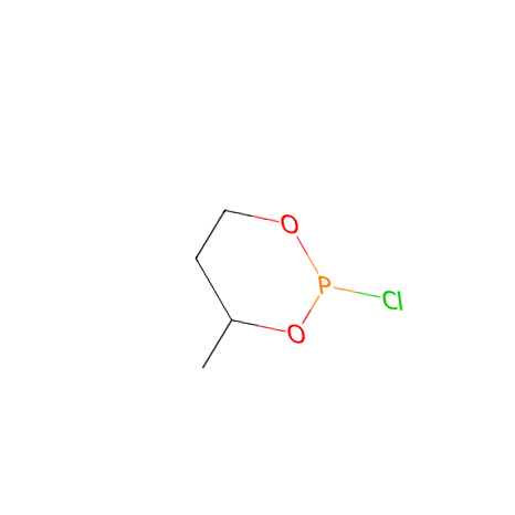 CC1CCOP(Cl)O1